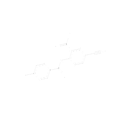 N#Cc1ccc(NC(=O)c2ccc(Cl)nc2)c(C(=O)O)c1